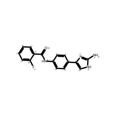 Nc1nc(-c2ccc(NC(=O)c3ccccc3F)cc2)c[nH]1